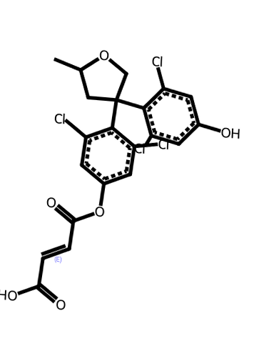 CC1CC(c2c(Cl)cc(O)cc2Cl)(c2c(Cl)cc(OC(=O)/C=C/C(=O)O)cc2Cl)CO1